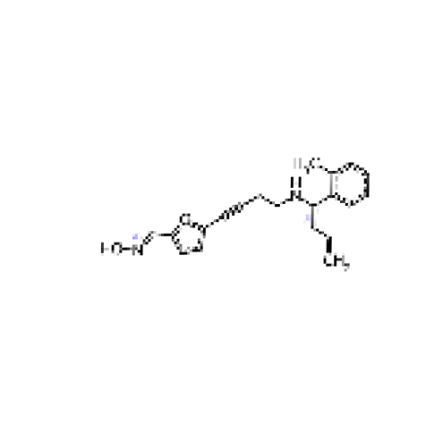 C=C/C=C(/NCCC#Cc1ccc(/C=N/O)o1)c1ccccc1C